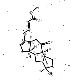 COC(=O)/C=C/[C@@H](C)C1=CC[C@H]2[C@@H]3CC4[C@@](C)(O)CC[C@]4(C)[C@H]3C(=O)C[C@]12C